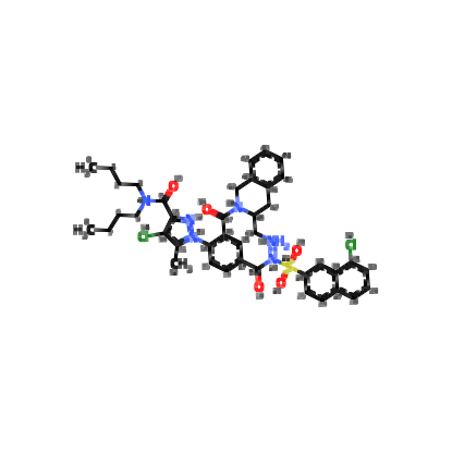 CCCCN(CCCC)C(=O)c1nn(-c2ccc(C(=O)NS(=O)(=O)c3ccc4cccc(Cl)c4c3)cc2C(=O)N2Cc3ccccc3CC2CN)c(C)c1Cl